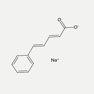 O=C([O-])C=CC=Cc1ccccc1.[Na+]